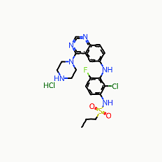 CCCS(=O)(=O)Nc1ccc(F)c(Nc2ccc3ncnc(N4CCNCC4)c3c2)c1Cl.Cl